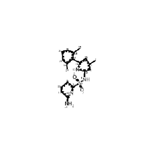 Cc1cc(NS(=O)(=O)c2cccc(N)n2)nc(-c2c(C)cccc2C)c1